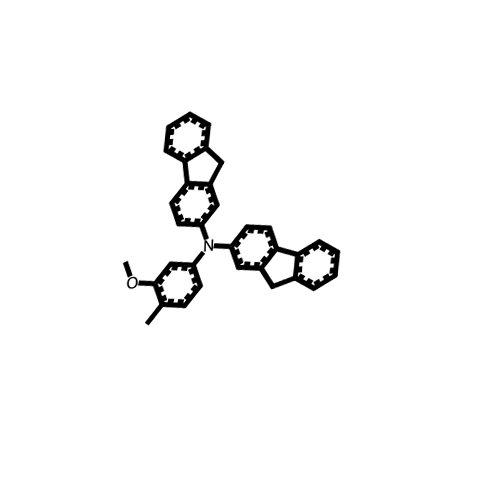 COc1cc(N(c2ccc3c(c2)Cc2ccccc2-3)c2ccc3c(c2)Cc2ccccc2-3)ccc1C